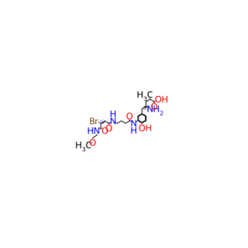 COCCNC(=O)/C(Br)=C\C(=O)NCCCC(=O)Nc1cc(C[C@H](N)CC(C)C(=O)O)ccc1O